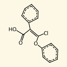 O=C(O)C(=C(Cl)Oc1ccccc1)c1ccccc1